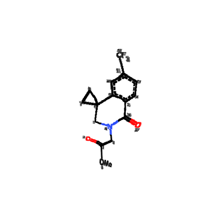 COC(=O)CN1CC2(CC2)c2cc(C(F)(F)F)ccc2C1=O